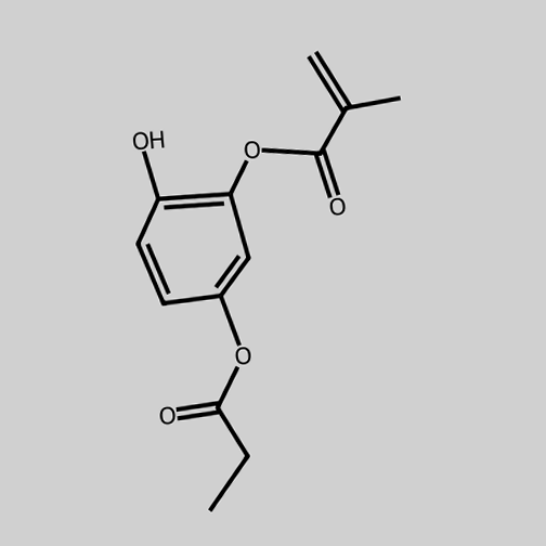 C=C(C)C(=O)Oc1cc(OC(=O)CC)ccc1O